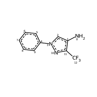 Nc1cn(-c2c[c]ccc2)nc1C(F)(F)F